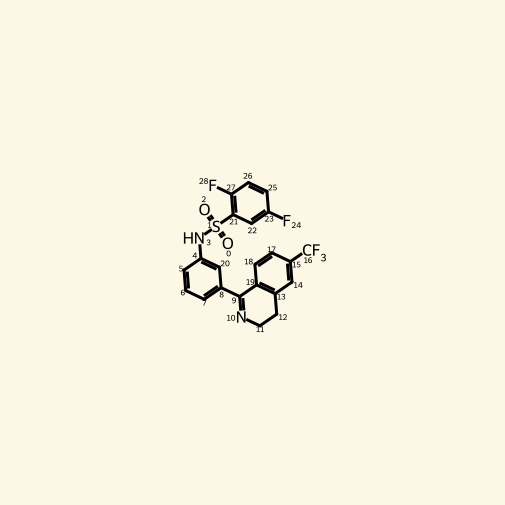 O=S(=O)(Nc1cccc(C2=NCCc3cc(C(F)(F)F)ccc32)c1)c1cc(F)ccc1F